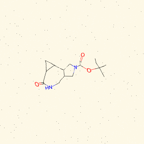 CC(C)(C)OC(=O)N1CC2CNC(=O)C3CC3C2C1